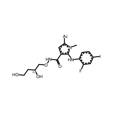 CC(=O)c1cc(C(=O)NOC[C@@H](O)CCO)c(Nc2ccc(I)cc2F)n1C